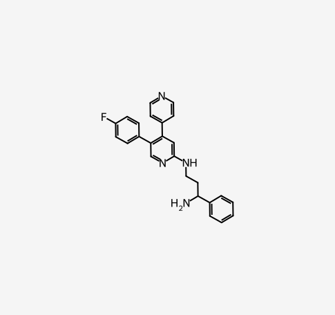 NC(CCNc1cc(-c2ccncc2)c(-c2ccc(F)cc2)cn1)c1ccccc1